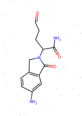 NC(=O)C(CCC=O)N1Cc2ccc(N)cc2C1=O